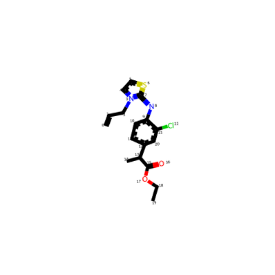 C=CCn1ccsc1=Nc1ccc(C(C)C(=O)OCC)cc1Cl